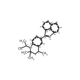 CC1CC(C)(C)N(C(C)Cl)c2ccc(C3=Nc4cccc5cccc3c45)cc21